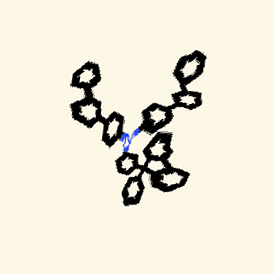 c1ccc(-c2cccc(-c3ccc(N(c4ccc(-c5cccc(-c6ccccc6)c5)cc4)c4cccc(C5(c6ccccc6)c6ccccc6-c6ccccc65)c4)cc3)c2)cc1